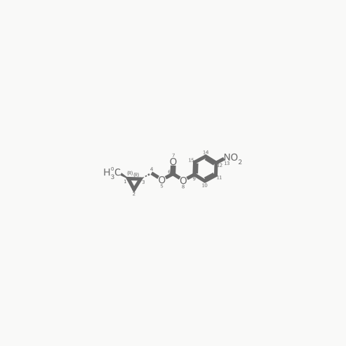 C[C@@H]1C[C@H]1COC(=O)Oc1ccc([N+](=O)[O-])cc1